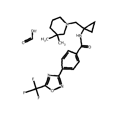 CC1(C)CCCN(CC2(NC(=O)c3ccc(-c4noc(C(F)(F)F)n4)cc3)CC2)C1.O=CO